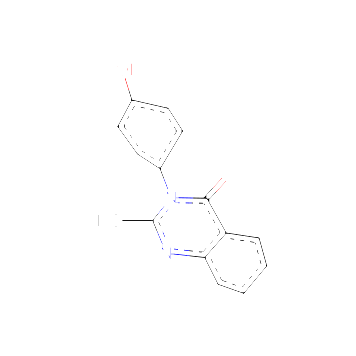 Cc1nc2ccccc2c(=O)n1-c1ccc(O)cc1